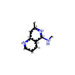 CNc1nc(C)cc2ncccc12